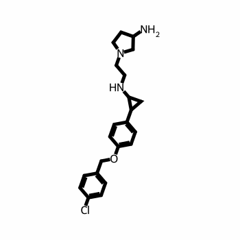 NC1CCN(CCNC2CC2c2ccc(OCc3ccc(Cl)cc3)cc2)C1